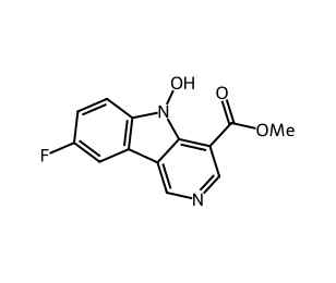 COC(=O)c1cncc2c3cc(F)ccc3n(O)c12